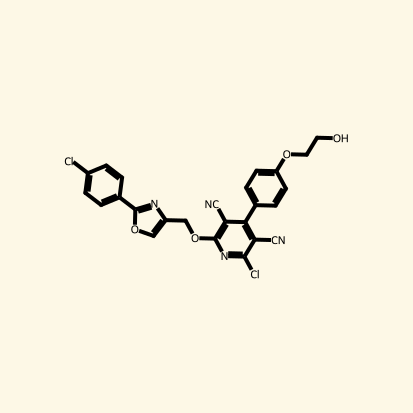 N#Cc1c(Cl)nc(OCc2coc(-c3ccc(Cl)cc3)n2)c(C#N)c1-c1ccc(OCCO)cc1